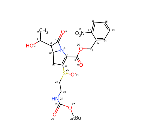 CC(O)C1C(=O)N2C(C(=O)OCc3ccccc3[N+](=O)[O-])=C([S+]([O-])CCNC(=O)OC(C)(C)C)CC12